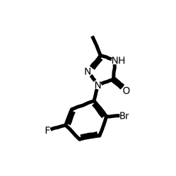 Cc1nn(-c2cc(F)ccc2Br)c(=O)[nH]1